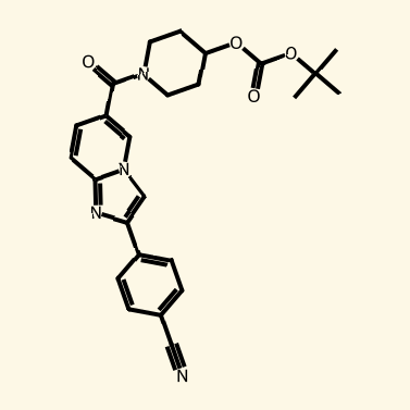 CC(C)(C)OC(=O)OC1CCN(C(=O)c2ccc3nc(-c4ccc(C#N)cc4)cn3c2)CC1